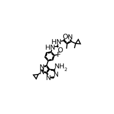 Cc1c(C2(C)CC2)noc1NC(=O)Nc1ccc(-c2nn(C3CC3)c3ncnc(N)c23)cc1F